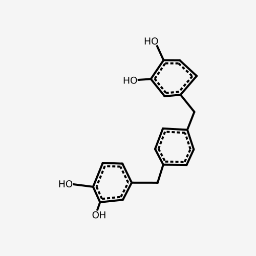 Oc1ccc(Cc2ccc(Cc3ccc(O)c(O)c3)cc2)cc1O